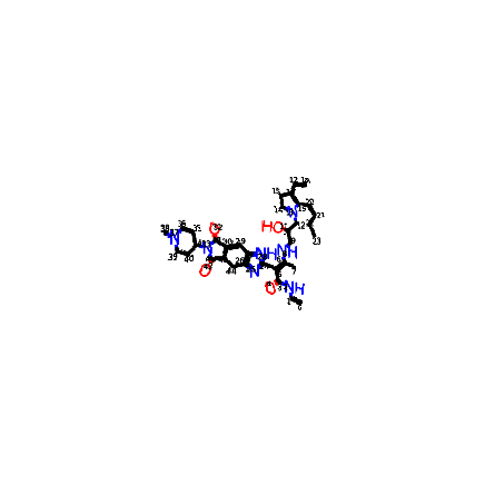 C=CNC(=O)/C(=C(\C)NCC(O)CN1CCC(C=C)=C1/C=C\CC)c1nc2c([nH]1)C=C1C(=O)N(C3CCN(C)CC3)C(=O)C1C2